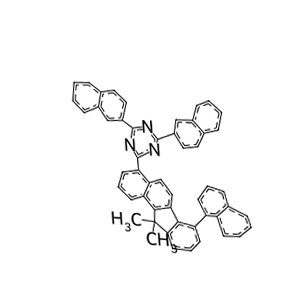 CC1(C)c2cccc(-c3cccc4ccccc34)c2-c2ccc3c(-c4nc(-c5ccc6ccccc6c5)nc(-c5ccc6ccccc6c5)n4)cccc3c21